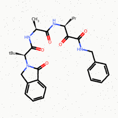 CC(C)[C@H](NC(=O)[C@H](C)NC(=O)[C@@H](N1Cc2ccccc2C1=O)C(C)(C)C)C(=O)C(=O)NCc1ccccc1